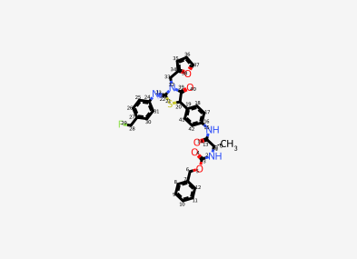 C[C@H](NC(=O)OCc1ccccc1)C(=O)Nc1ccc(C2S/C(=N\c3ccc(CF)cc3)N(Cc3ccco3)C2=O)cc1